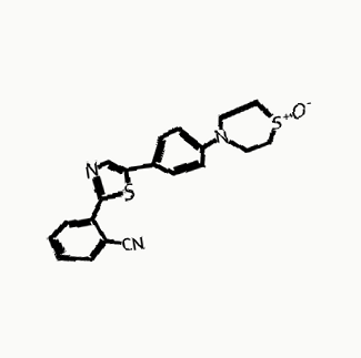 N#Cc1ccccc1-c1ncc(-c2ccc(N3CC[S+]([O-])CC3)cc2)s1